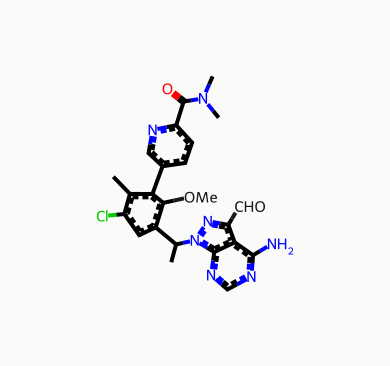 COc1c(C(C)n2nc(C=O)c3c(N)ncnc32)cc(Cl)c(C)c1-c1ccc(C(=O)N(C)C)nc1